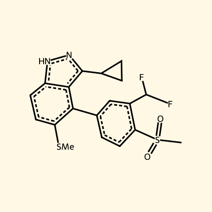 CSc1ccc2[nH]nc(C3CC3)c2c1-c1ccc(S(C)(=O)=O)c(C(F)F)c1